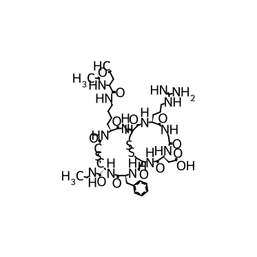 C#CCC(NC(C)=O)C(=O)NCCCC[C@@H]1NC(=O)CSC[C@@H](C(=O)NCC)NC(=O)[C@H](Cc2ccccc2)NC(=O)[C@@H]2CSSC[C@H](NC1=O)C(=O)N[C@@H](CCCNC(=N)N)C(=O)NCC(=O)N[C@@H](CC(=O)O)C(=O)N2